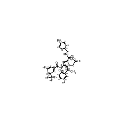 CC(=O)Cn1c(C(=O)NCc2ncc(F)cn2)nc(NC(=O)c2cc(F)cc(C(F)(F)F)c2)c1[C@@H](C)c1cc(F)ccc1Cl